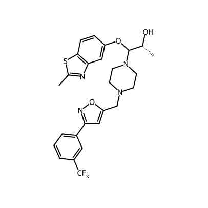 Cc1nc2cc(OC([C@@H](C)O)N3CCN(Cc4cc(-c5cccc(C(F)(F)F)c5)no4)CC3)ccc2s1